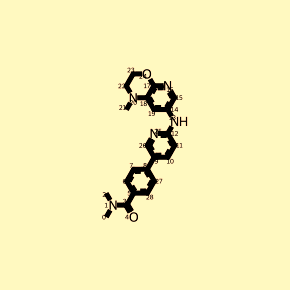 CN(C)C(=O)c1ccc(-c2ccc(Nc3cnc4c(c3)N(C)CCO4)nc2)cc1